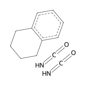 N=C=O.N=C=O.c1ccc2c(c1)CCCC2